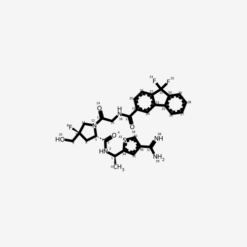 C[C@@H](NC(=O)[C@@H]1C[C@](F)(CO)CN1C(=O)CNC(=O)c1ccc2c(c1)-c1ccccc1C2(F)F)c1cc(C(=N)N)cs1